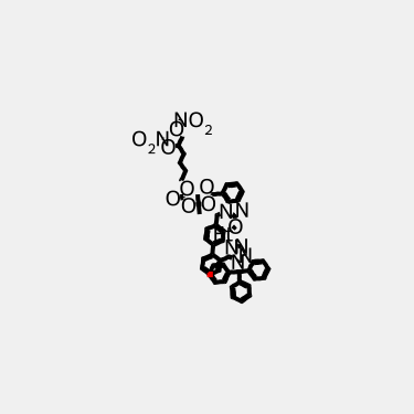 CCOc1nc2cccc(C(=O)OC(C)(C)OC(=O)OCCCCC(CO[N+](=O)[O-])O[N+](=O)[O-])c2n1Cc1ccc(-c2ccccc2-c2nnnn2C(c2ccccc2)(c2ccccc2)c2ccccc2)cc1